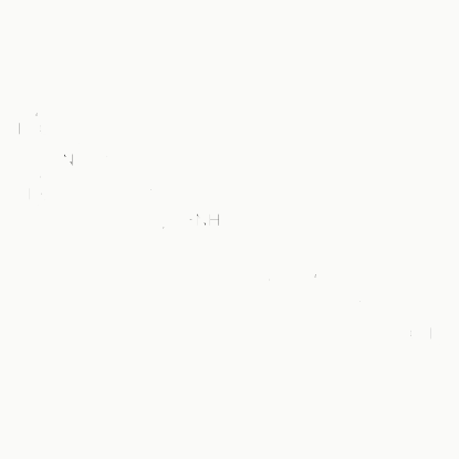 CCCCCCCCNCCCCN(C)C